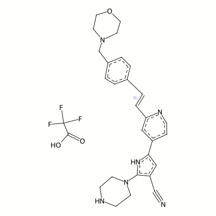 N#Cc1cc(-c2ccnc(/C=C/c3ccc(CN4CCOCC4)cc3)c2)[nH]c1N1CCNCC1.O=C(O)C(F)(F)F